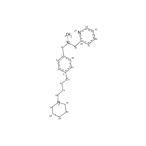 CN(Cc1ccc(OCCCN2CCCCC2)cc1)Cc1ccccn1